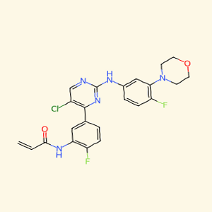 C=CC(=O)Nc1cc(-c2nc(Nc3ccc(F)c(N4CCOCC4)c3)ncc2Cl)ccc1F